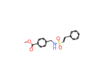 COC(=O)c1ccc(CNS(=O)(=O)C=Cc2ccccc2)cc1